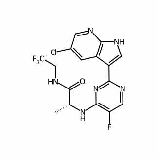 C[C@@H](Nc1nc(-c2c[nH]c3ncc(Cl)cc23)ncc1F)C(=O)NCC(F)(F)F